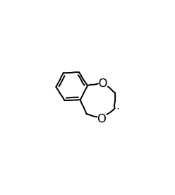 [CH]1COc2ccccc2CO1